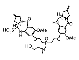 C=C1C[C@H]2CNc3cc(OCCP(=O)(CCOc4cc5c(cc4OC)C(=O)N4CC(=C)C[C@H]4C(S(=O)(=O)O)N5)CN(C)CCO)c(OC)cc3C(=O)N2C1